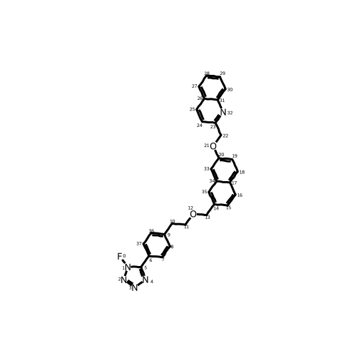 Fn1nnnc1-c1ccc(CCOCc2ccc3ccc(OCc4ccc5ccccc5n4)cc3c2)cc1